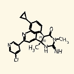 CN1C(=N)N[C@](C)(c2ccnc(-c3cncc(Cl)c3)c2)[C@@H](c2ccc(C3CC3)cc2)C1=O